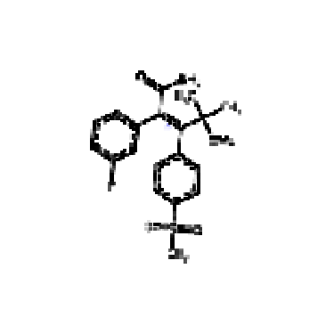 COC(C)(C)/C(=C(\C(N)=O)c1cccc(F)c1)c1ccc(S(C)(=O)=O)cc1